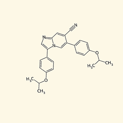 CC(C)Oc1ccc(-c2cn3c(-c4ccc(OC(C)C)cc4)cnc3cc2C#N)cc1